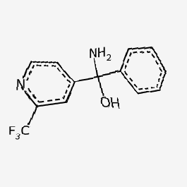 NC(O)(c1ccccc1)c1ccnc(C(F)(F)F)c1